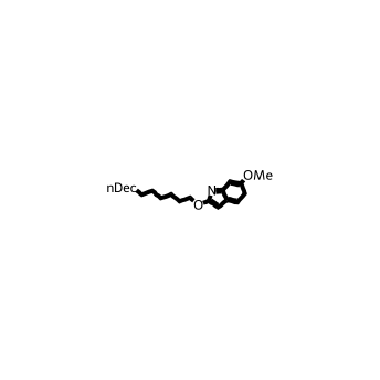 CCCCCCCCCCCCCCCCOC1=CC2=CCC(OC)=CC2=N1